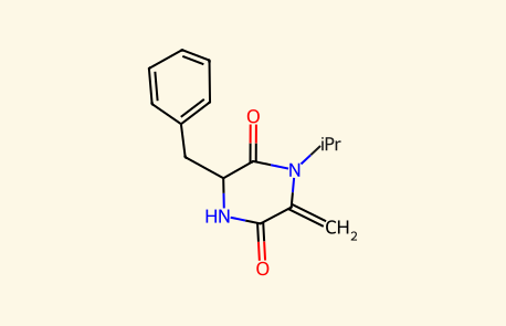 C=C1C(=O)NC(Cc2ccccc2)C(=O)N1C(C)C